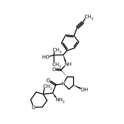 CC#Cc1ccc([C@@H](NC(=O)[C@@H]2C[C@@H](O)CN2C(=O)[C@@H](N)C2(C)CCOCC2)C(C)(C)O)cc1